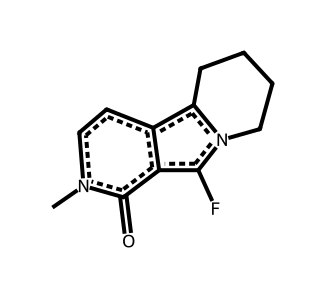 Cn1ccc2c3n(c(F)c2c1=O)CCCC3